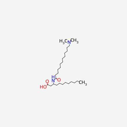 CCCCCCCCCC(CC(=O)O)NC(=O)CCCCCCCCCCCCN(C)C